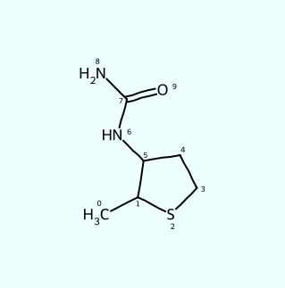 CC1SCCC1NC(N)=O